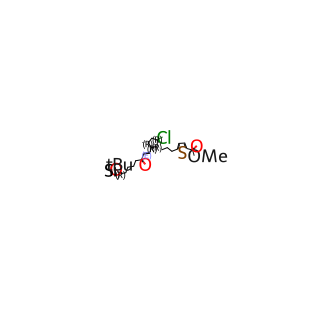 COC(=O)c1ccc(CCC[C@@H]2[C@@H](/C=C/C(=O)CCCC[C@@H](C)O[Si](C)(C)C(C)(C)C)[C@H](C)C[C@H]2Cl)s1